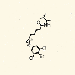 CC(C)C(C)NC(=O)C=CC=C[C@@H]1C[C@H]1c1cc(Cl)c(Br)c(Cl)c1